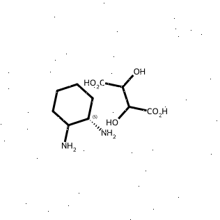 NC1CCCC[C@@H]1N.O=C(O)C(O)C(O)C(=O)O